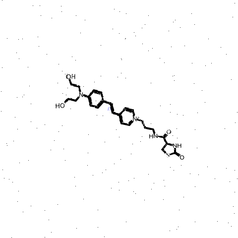 O=C1NC(C(=O)NCCC[n+]2ccc(/C=C/c3ccc(N(CCO)CCO)cc3)cc2)CS1